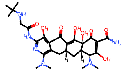 CN(C)c1nc(NC(=O)CNC(C)(C)C)c(O)c2c1C[C@H]1C[C@H]3[C@H](N(C)C)C(O)=C(C(N)=O)C(=O)[C@@]3(O)C(O)=C1C2=O